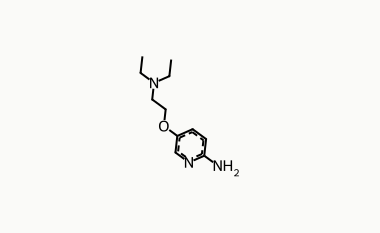 CCN(CC)CCOc1ccc(N)nc1